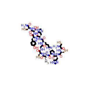 C[C@H](NC(=O)[C@@H]1CCCN1C(=O)[C@H](Cc1c[nH]cn1)NC(=O)[C@H](CS)NC(=O)[C@@H](N)CS)C(=O)N[C@@H](CS)C(=O)NCC(=O)N[C@@H](CCCCN)C(=O)N[C@@H](Cc1c[nH]cn1)C(=O)N[C@@H](Cc1ccc(O)cc1)C(=O)N[C@@H](CO)C(=O)N[C@@H](CS)C(N)=O